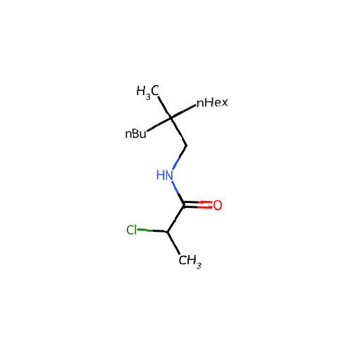 CCCCCCC(C)(CCCC)CNC(=O)C(C)Cl